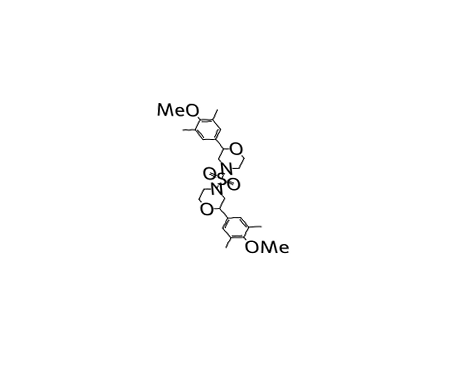 COc1c(C)cc(C2CN(S(=O)(=O)N3CCOC(c4cc(C)c(OC)c(C)c4)C3)CCO2)cc1C